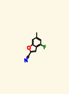 Cc1cc(F)c2cc(C#N)oc2c1